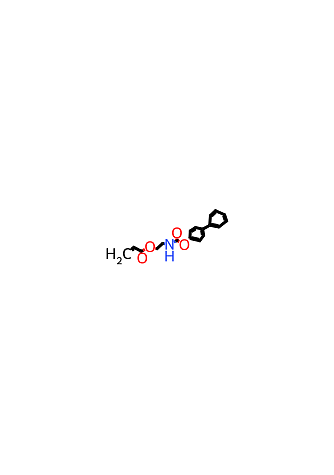 C=CC(=O)OCCNC(=O)Oc1ccc(-c2ccccc2)cc1